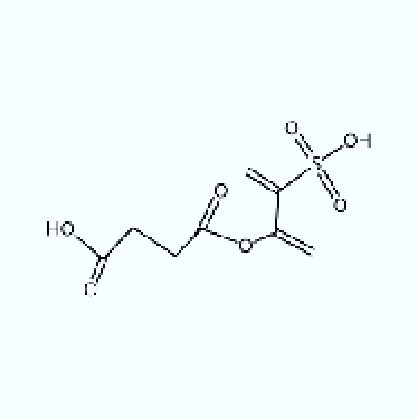 C=C(OC(=O)CCC(=O)O)C(=C)S(=O)(=O)O